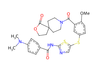 COc1ccc(Sc2cnc(NC(=O)c3ccc(N(C)C)cc3)s2)cc1C(=O)N1CCC2(CCOC2=O)CC1